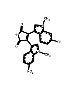 Cn1cc(C2=C(c3cn(C)c4cc([N+](=O)[O-])ccc34)C(=O)NC2=O)c2ccc(C#N)cc21